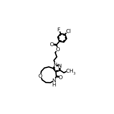 CCc1nn(CCCOC(=O)c2ccc(Cl)c(F)c2)c2c1C(=O)NCCCOCCC2